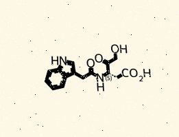 O=C(O)C[C@H](NC(=O)Cc1c[nH]c2ccccc12)C(=O)CO